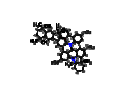 CCCCc1ccc(N2B3c4cc(CCCC)cc5c4N(c4cc(CCCC)cc(c43)-c3cc4c(cc32)C(C)(C)c2cc3c(cc2-4)C(C)(C)CCC3(C)C)C2(C)CCCCC52C)c(-c2ccccc2)c1